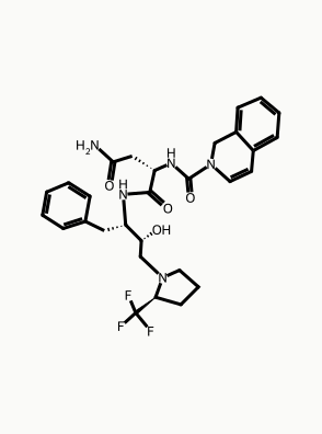 NC(=O)C[C@H](NC(=O)N1C=Cc2ccccc2C1)C(=O)N[C@@H](Cc1ccccc1)[C@H](O)CN1CCC[C@H]1C(F)(F)F